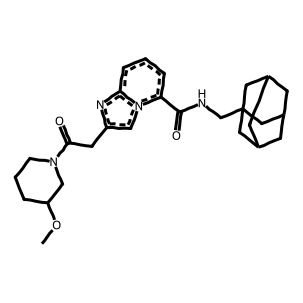 COC1CCCN(C(=O)Cc2cn3c(C(=O)NCC45CC6CC(CC(C6)C4)C5)cccc3n2)C1